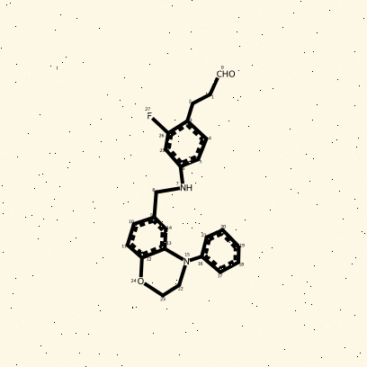 O=CCCc1ccc(NCc2ccc3c(c2)N(c2ccccc2)CCO3)cc1F